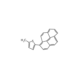 Cc1ccc(-c2ccc3ccc4cccc5ccc2c3c45)s1